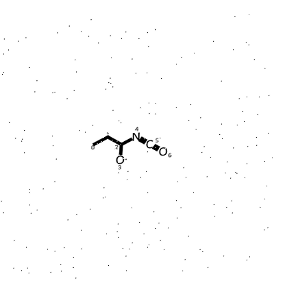 CCC([O])N=C=O